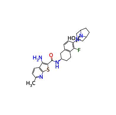 Cc1ccc2c(N)c(C(=O)N[C@@H]3CCc4c(ccc(N5CC6CCC(C5)N6C(=O)O)c4F)C3)sc2n1